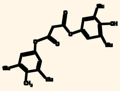 Cc1c(C(C)(C)C)cc(OC(=O)CC(=O)Oc2cc(C(C)(C)C)c(O)c(C(C)(C)C)c2)cc1C(C)(C)C